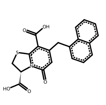 O=C(O)c1c(Cc2cccc3ccccc23)cc(=O)n2c1SC[C@H]2C(=O)O